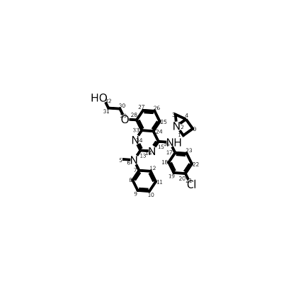 C1CN2CC12.CN(c1ccccc1)c1nc(Nc2ccc(Cl)cc2)c2cccc(OCCO)c2n1